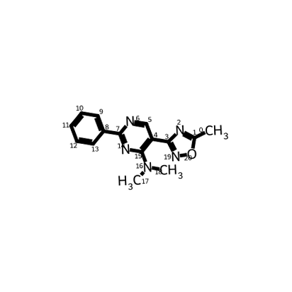 Cc1nc(-c2cnc(-c3ccccc3)nc2N(C)C)no1